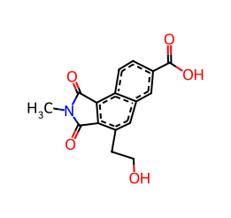 CN1C(=O)c2c(CCO)cc3cc(C(=O)O)ccc3c2C1=O